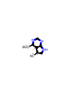 CC(C)COc1ncnc2[nH]cc(C#N)c12